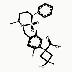 C[C@H]1CC[C@H](c2ccccc2)S(=O)(=O)N1Cc1cc(F)c([C@]2(C(=O)O)C[C@@](C)(O)C2)cc1F